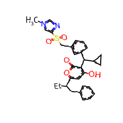 CCC(Cc1ccccc1)c1cc(O)c(C(c2cccc(CS(=O)(=O)c3cn(C)cn3)c2)C2CC2)c(=O)o1